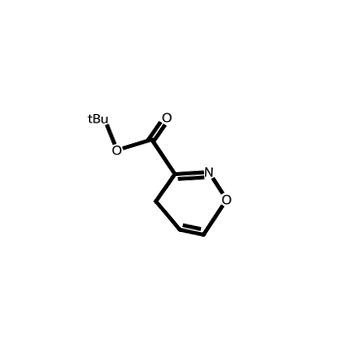 CC(C)(C)OC(=O)C1=NOC=CC1